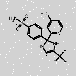 Cc1ccnc(C2(c3ccc(S(N)(=O)=O)cc3)NC=C(C(F)(F)F)N2)c1